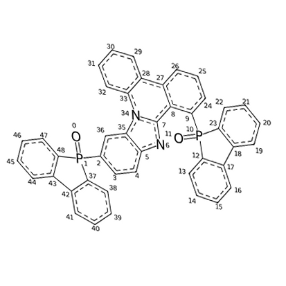 O=P1(c2ccc3nc4c5c(P6(=O)c7ccccc7-c7ccccc76)cccc5c5ccccc5n4c3c2)c2ccccc2-c2ccccc21